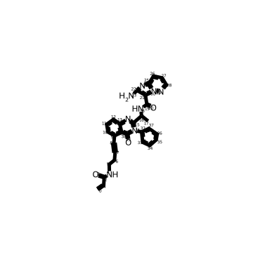 C=CC(=O)NCCC#Cc1cccc2nc(C(C)NC(=O)c3c(N)nc4cccnn34)n(-c3ccccc3)c(=O)c12